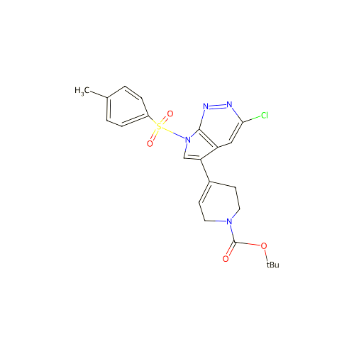 Cc1ccc(S(=O)(=O)n2cc(C3=CCN(C(=O)OC(C)(C)C)CC3)c3cc(Cl)nnc32)cc1